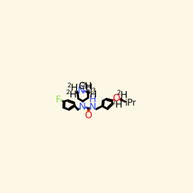 [2H]C([2H])(Oc1ccc(CNC(=O)N(Cc2ccc(F)cc2)C2CC([2H])([2H])N(C)C([2H])([2H])C2)cc1)C(C)C